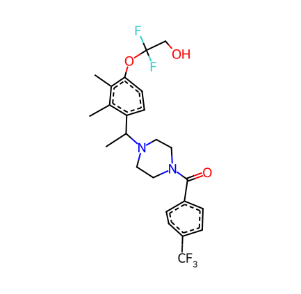 Cc1c(OC(F)(F)CO)ccc(C(C)N2CCN(C(=O)c3ccc(C(F)(F)F)cc3)CC2)c1C